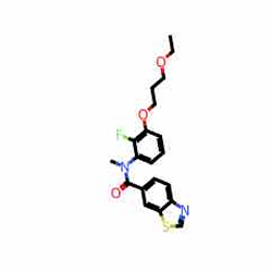 CCOCCCOc1cccc(N(C)C(=O)c2ccc3ncsc3c2)c1F